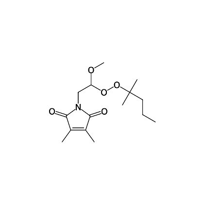 CCCC(C)(C)OOC(CN1C(=O)C(C)=C(C)C1=O)OC